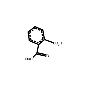 CC(C)COC(=O)c1ccccc1C(=O)O